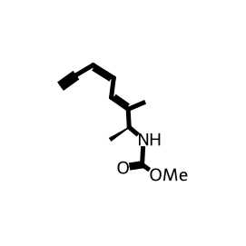 C#C/C=C\C=C(/C)[C@H](C)NC(=O)OC